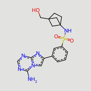 Nc1ncnc2nc(-c3cccc(S(=O)(=O)NC45CCC(CO)(C4)C5)c3)cn12